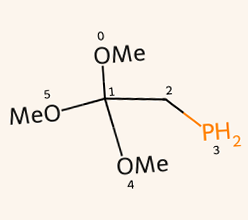 COC(CP)(OC)OC